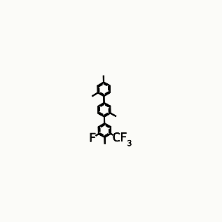 Cc1ccc(-c2ccc(-c3cc(F)c(C)c(C(F)(F)F)c3)c(C)c2)c(C)c1